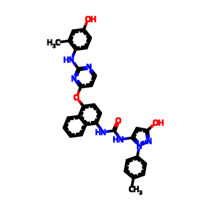 Cc1ccc(-n2nc(O)cc2NC(=O)Nc2ccc(Oc3ccnc(Nc4ccc(O)cc4C)n3)c3ccccc23)cc1